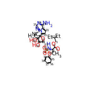 CCC(CC)COC(=O)[C@H](C)N[P@](=O)(OC[C@H]1O[C@@](C#N)(c2ccc3c(N)ncnn23)[C@](C)(O)[C@@H]1O)Oc1ccccc1